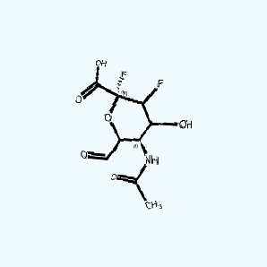 CC(=O)N[C@H]1C(C=O)O[C@@](F)(C(=O)O)C(F)C1O